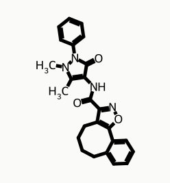 Cc1c(NC(=O)c2noc3c2CCCCc2ccccc2-3)c(=O)n(-c2ccccc2)n1C